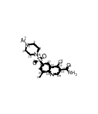 CC(=O)N1CCN(S(=O)(=O)c2cc(C)c3ncc(C(N)=O)c(Cl)c3c2)CC1